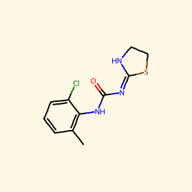 Cc1cccc(Cl)c1NC(=O)N=C1NCCS1